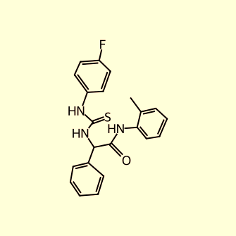 Cc1ccccc1NC(=O)C(NC(=S)Nc1ccc(F)cc1)c1ccccc1